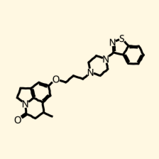 CC1CC(=O)N2CCc3cc(OCCCN4CCN(c5nsc6ccccc56)CC4)cc1c32